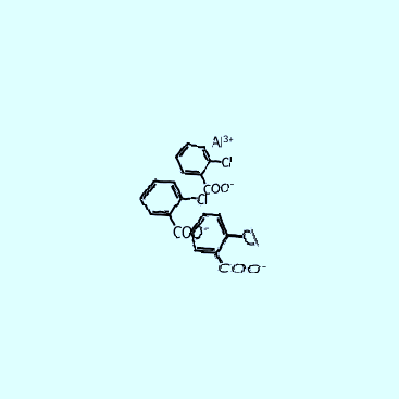 O=C([O-])c1ccccc1Cl.O=C([O-])c1ccccc1Cl.O=C([O-])c1ccccc1Cl.[Al+3]